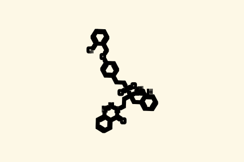 O=C(O)C(CCn1nnc2ccccc2c1=O)(Cc1ccccc1Cl)S(=O)(=O)CCc1ccc(OCc2ccccc2Cl)cc1